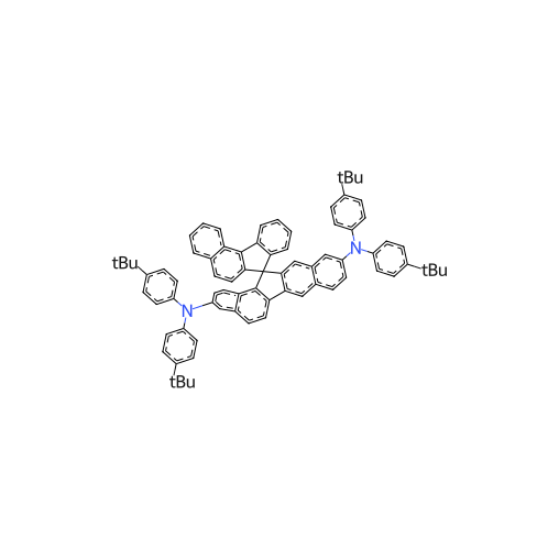 CC(C)(C)c1ccc(N(c2ccc(C(C)(C)C)cc2)c2ccc3cc4c(cc3c2)C2(c3ccccc3-c3c2ccc2ccccc32)c2c-4ccc3cc(N(c4ccc(C(C)(C)C)cc4)c4ccc(C(C)(C)C)cc4)ccc23)cc1